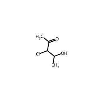 CC(=O)C(Cl)C(C)O